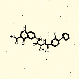 C[C@H](NC(=O)c1ccc(-c2ccccc2)c(F)c1)C(=O)Nc1ccc2[nH]cc(C(=O)O)c(=O)c2c1